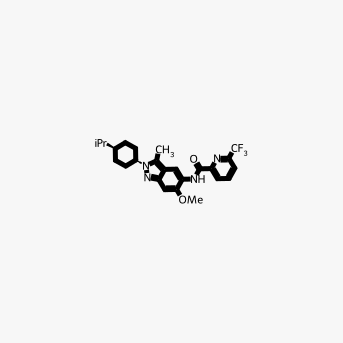 COc1cc2nn([C@H]3CC[C@H](C(C)C)CC3)c(C)c2cc1NC(=O)c1cccc(C(F)(F)F)n1